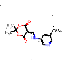 COc1cncc(NC=C2C(=O)OC(C)(C)OC2=O)c1